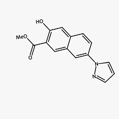 COC(=O)c1cc2cc(-n3cccn3)ccc2cc1O